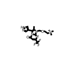 Cc1c(-c2cn[nH]c2)n2c(=O)cc(C(F)(F)F)nc2n1COCC[Si](C)(C)C